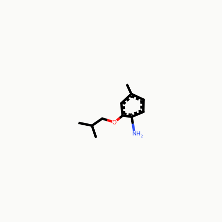 Cc1ccc(N)c(OCC(C)C)c1